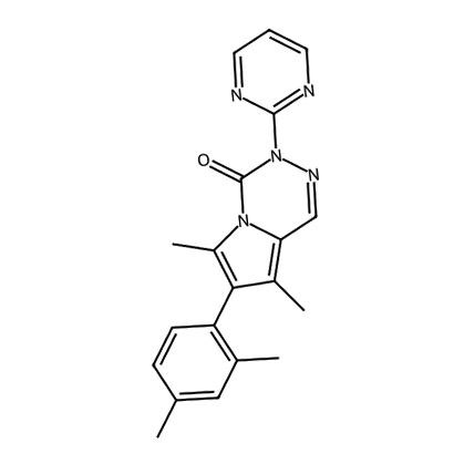 Cc1ccc(-c2c(C)c3cnn(-c4ncccn4)c(=O)n3c2C)c(C)c1